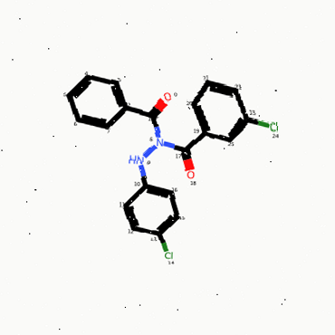 O=C(c1ccccc1)N(Nc1ccc(Cl)cc1)C(=O)c1cccc(Cl)c1